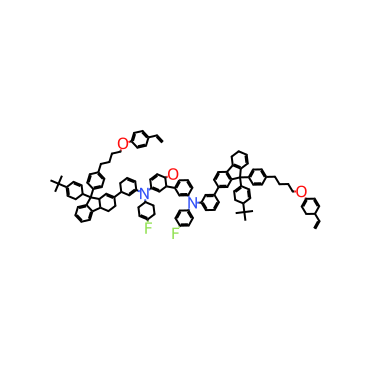 C=Cc1ccc(OCCCCc2ccc(C3(C4C=CC(C(C)(C)C)=CC4)c4ccccc4C4CCC(C5C=C(N(C6=CC7c8cc(N(c9ccc(F)cc9)c9cccc(-c%10ccc%11c(c%10)C(C%10=CCC(C(C)(C)C)C=C%10)(c%10ccc(CCCCOC%12=CCC(C=C)C=C%12)cc%10)C%10=C%11CCC=C%10)c9)ccc8OC7C=C6)C6CC=C(F)CC6)C=CC5)=CC43)cc2)cc1